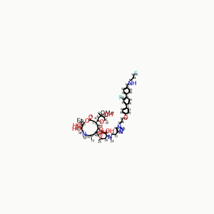 CC[C@H]1OC(=O)[C@H](C)[C@@H](C2C[C@@](C)(OC)[C@@H](O)[C@H](C)O2)[C@H](C)[C@@H](O[C@@H]2O[C@H](C)C[C@H](N(C)CCc3cn(CCCOc4ccc(-c5ccc(-c6ccc(CNCCCF)cc6)c(F)c5)cc4)nn3)[C@H]2O)[C@](C)(O)C[C@@H](C)CN(C)[C@H](C)[C@@H](O)[C@]1(C)O